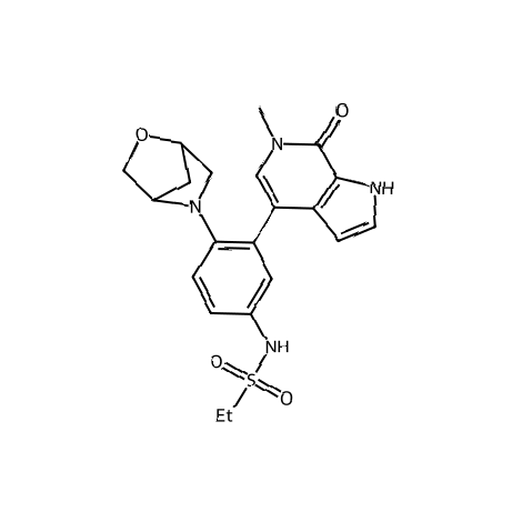 CCS(=O)(=O)Nc1ccc(N2CC3CC2CO3)c(-c2cn(C)c(=O)c3[nH]ccc23)c1